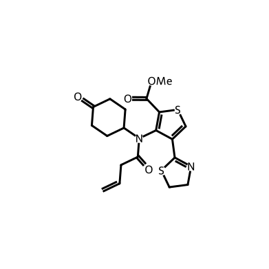 C=CCC(=O)N(c1c(C2=NCCS2)csc1C(=O)OC)C1CCC(=O)CC1